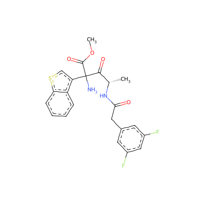 COC(=O)C(N)(C(=O)[C@H](C)NC(=O)Cc1cc(F)cc(F)c1)c1csc2ccccc12